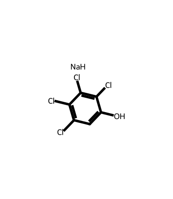 Oc1cc(Cl)c(Cl)c(Cl)c1Cl.[NaH]